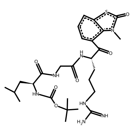 CC(C)C[C@H](NC(=O)OC(C)(C)C)C(=O)NCC(=O)N[C@@H](CCCNC(=N)N)C(=O)c1cccc2sc(=O)n(C)c12